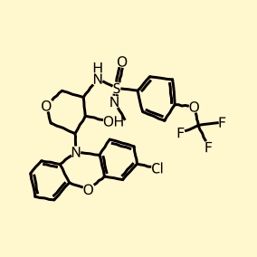 CN=S(=O)(NC1COCC(N2c3ccccc3Oc3cc(Cl)ccc32)C1O)c1ccc(OC(F)(F)F)cc1